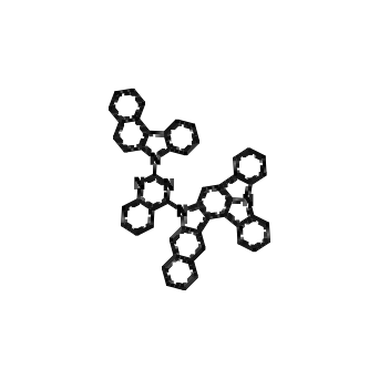 c1ccc2cc3c(cc2c1)c1c2c4ccccc4n4c5ccccc5c(cc1n3-c1nc(-n3c5ccccc5c5c6ccccc6ccc53)nc3ccccc13)c24